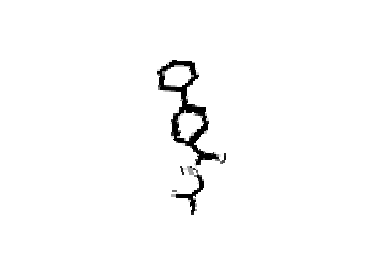 O=C(NCC(F)F)c1ccc(C2CCCCC2)cc1